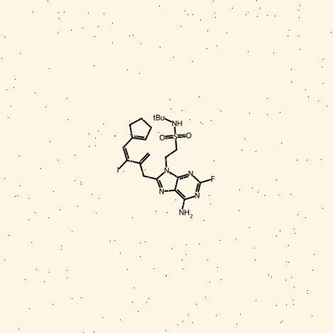 C=C(Cc1nc2c(N)nc(F)nc2n1CCS(=O)(=O)NC(C)(C)C)/C(I)=C\C1=CCCC1